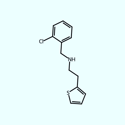 Clc1ccccc1CNCCc1cccs1